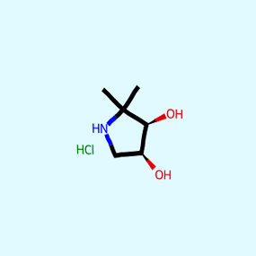 CC1(C)NC[C@H](O)[C@@H]1O.Cl